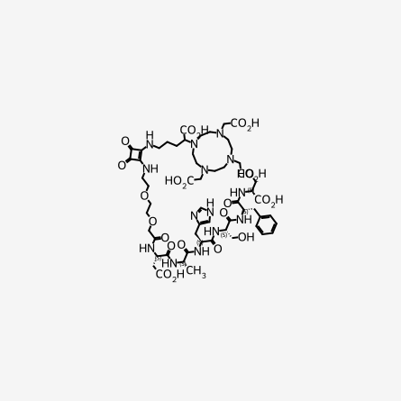 C[C@H](NC(=O)[C@H](CC(=O)O)NC(=O)COCCOCCNc1c(NCCCC(C(=O)O)N2CCN(CC(=O)O)CCN(CC(=O)O)CCN(CC(=O)O)CC2)c(=O)c1=O)C(=O)N[C@@H](Cc1c[nH]cn1)C(=O)N[C@@H](CO)C(=O)N[C@@H](Cc1ccccc1)C(=O)N[C@@H](CO)C(=O)O